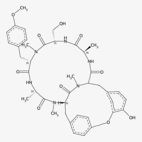 COc1ccc(C[C@H]2C(=O)N[C@@H](C)C(=O)N(C)[C@H]3Cc4ccc(cc4)Oc4cc(ccc4O)CC(C(=O)N[C@H](C)C(=O)N[C@@H](CO)C(=O)N2C)N(C)C3=O)cc1